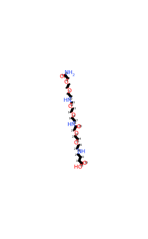 NC(=O)COCCOCCNCOCCOCCNC(=O)COCCOCCNCCCC(=O)O